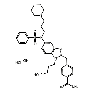 Cl.Cl.N=C(N)c1ccc(Cc2nc3cc(N(CCCN4CCCCC4)S(=O)(=O)c4ccccc4)ccc3n2CCCC(=O)O)cc1